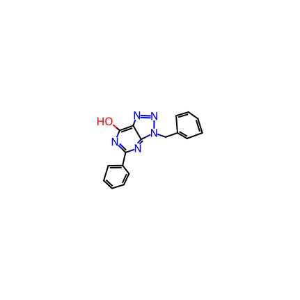 Oc1nc(-c2ccccc2)nc2c1nnn2Cc1ccccc1